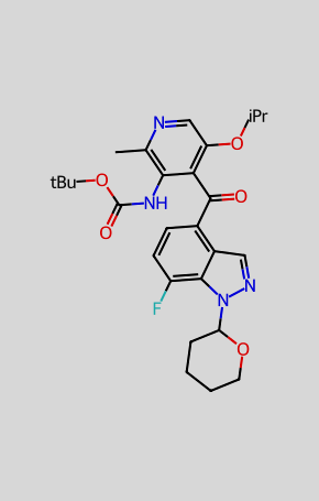 Cc1ncc(OC(C)C)c(C(=O)c2ccc(F)c3c2cnn3C2CCCCO2)c1NC(=O)OC(C)(C)C